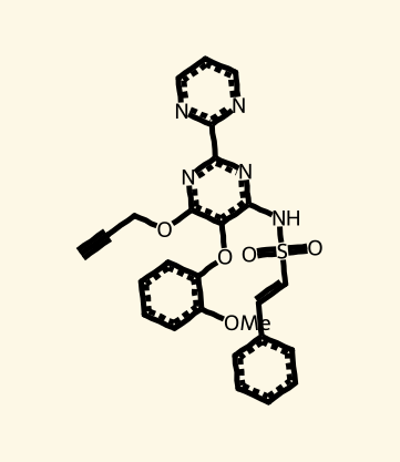 C#CCOc1nc(-c2ncccn2)nc(NS(=O)(=O)C=Cc2ccccc2)c1Oc1ccccc1OC